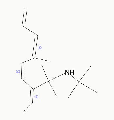 C=C\C=C(C)/C=C\C(=C/C)C(C)(C)NC(C)(C)C